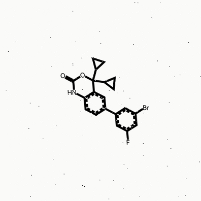 O=C1Nc2ccc(-c3cc(F)cc(Br)c3)cc2C(C2CC2)(C2CC2)O1